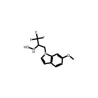 COc1ccc2ccn(CC(NO)C(F)(F)F)c2c1